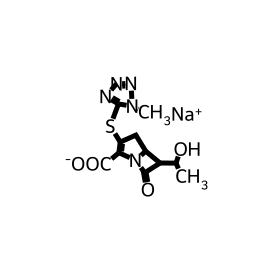 CC(O)C1C(=O)N2C(C(=O)[O-])=C(Sc3nnnn3C)CC12.[Na+]